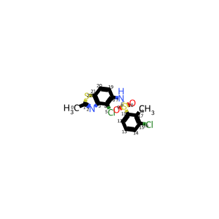 Cc1nc2c(Cl)c(NS(=O)(=O)c3cccc(Cl)c3C)ccc2s1